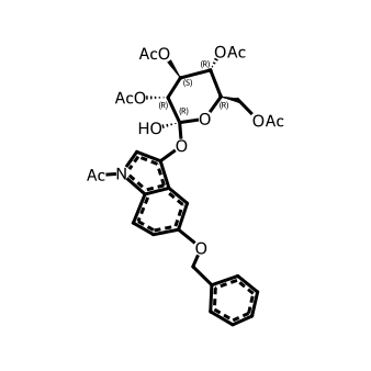 CC(=O)OC[C@H]1O[C@@](O)(Oc2cn(C(C)=O)c3ccc(OCc4ccccc4)cc23)[C@H](OC(C)=O)[C@@H](OC(C)=O)[C@@H]1OC(C)=O